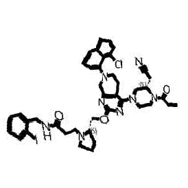 C=CC(=O)N1CCN(c2nc(OC[C@@H]3CCCN3CCC(=O)NCc3ccccc3I)nc3c2CCN(c2cccc4cccc(Cl)c24)C3)C[C@@H]1CC#N